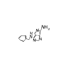 Nc1cc2ncnc(NCc3ccccc3)c2cn1